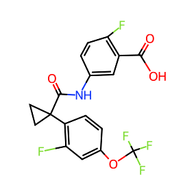 O=C(O)c1cc(NC(=O)C2(c3ccc(OC(F)(F)F)cc3F)CC2)ccc1F